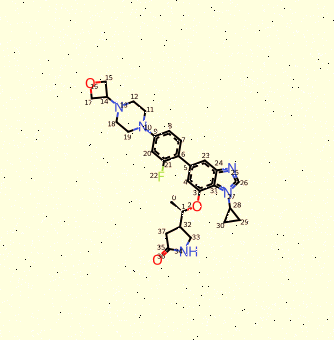 C[C@@H](Oc1cc(-c2ccc(N3CCN(C4COC4)CC3)cc2F)cc2ncn(C3CC3)c12)C1CNC(=O)C1